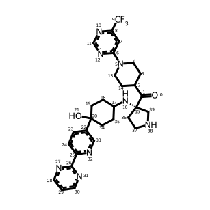 O=C(C1CCN(c2cc(C(F)(F)F)ncn2)CC1)[C@]1(NC2CCC(O)(c3ccc(-c4ncccn4)nc3)CC2)CCNC1